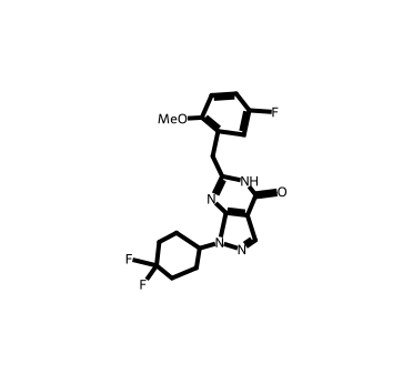 COc1ccc(F)cc1Cc1nc2c(cnn2C2CCC(F)(F)CC2)c(=O)[nH]1